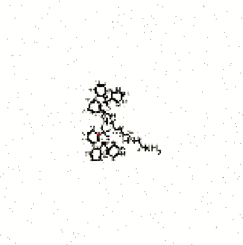 CC(C)(CN(CC(C)(C)SC(c1ccccc1)(c1ccccc1)c1ccccc1)C(=O)CCCCNCCN)SC(c1ccccc1)(c1ccccc1)c1ccccc1